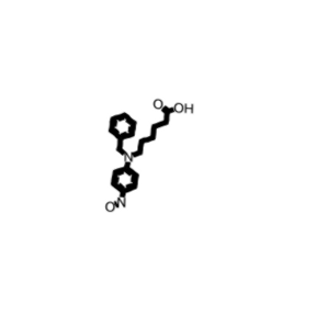 O=Nc1ccc(N(CCCCCC(=O)O)Cc2ccccc2)cc1